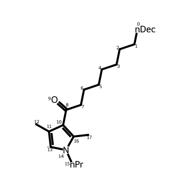 CCCCCCCCCCCCCCCCCC(=O)c1c(C)[c]n(CCC)c1C